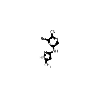 Cc1cc(Nc2cnc(C#N)c(Br)n2)n[nH]1